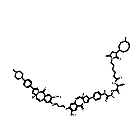 COc1cc2c(cc1OCCCOc1cc3c(cc1OC)C(=O)N1C=C(c4ccc(N5CCN(C)CC5)cc4)C[C@H]1C=N3)N=C[C@@H]1CC(c3ccc(NC(=O)[C@H](C)NC(=O)C(NC(=O)CCCCCN4C(=O)CC(C5CCCCC(C)CC5)C4=O)C(C)C)cc3)=CN1C2=O